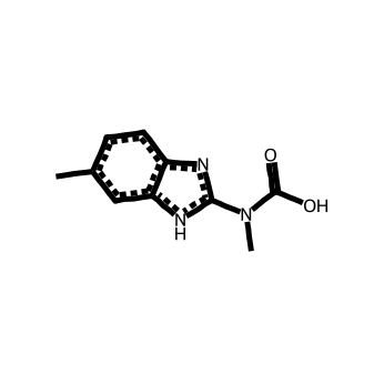 Cc1ccc2nc(N(C)C(=O)O)[nH]c2c1